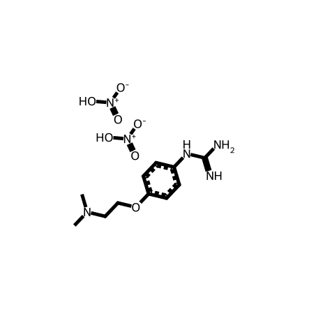 CN(C)CCOc1ccc(NC(=N)N)cc1.O=[N+]([O-])O.O=[N+]([O-])O